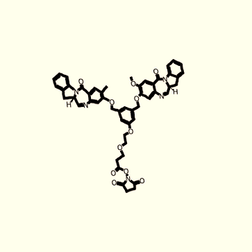 COc1cc2c(cc1OCc1cc(COc3cc4c(cc3C)C(=O)N3c5ccccc5C[C@H]3C=N4)cc(OCCOCCC(=O)ON3C(=O)CCC3=O)c1)N=C[C@@H]1Cc3ccccc3N1C2=O